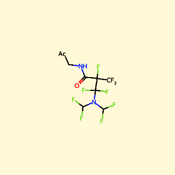 CC(=O)CNC(=O)C(F)(C(F)(F)F)C(F)(F)N(C(F)F)C(F)F